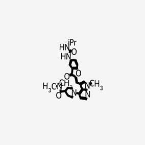 CC(C)NC(=O)Nc1ccc2c(c1)C(=O)C(=Cc1cn(C)c3nccc(N4CCC(C(=O)N(C)C)CC4)c13)O2